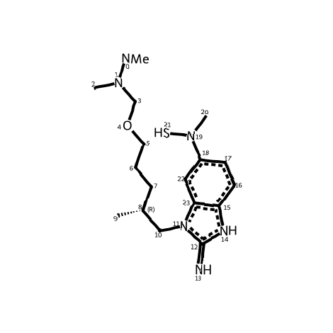 CNN(C)COCCC[C@@H](C)Cn1c(=N)[nH]c2ccc(N(C)S)cc21